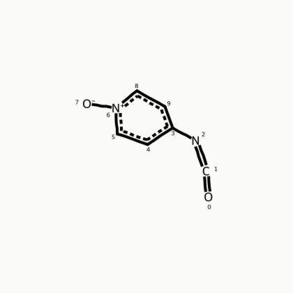 O=C=Nc1cc[n+]([O-])cc1